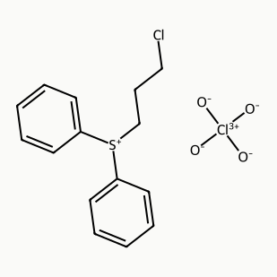 ClCCC[S+](c1ccccc1)c1ccccc1.[O-][Cl+3]([O-])([O-])[O-]